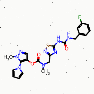 CN(Cc1nsc(NC(=O)NCc2cccc(F)c2)n1)C(=O)Oc1cnn(C)c1-n1cccc1